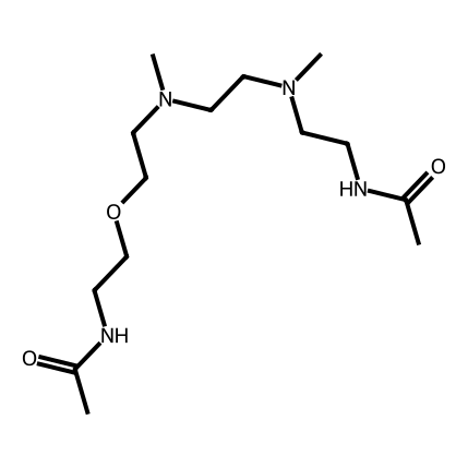 CC(=O)NCCOCCN(C)CCN(C)CCNC(C)=O